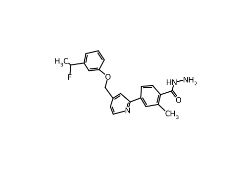 Cc1cc(-c2cc(COc3cccc(C(C)F)c3)ccn2)ccc1C(=O)NN